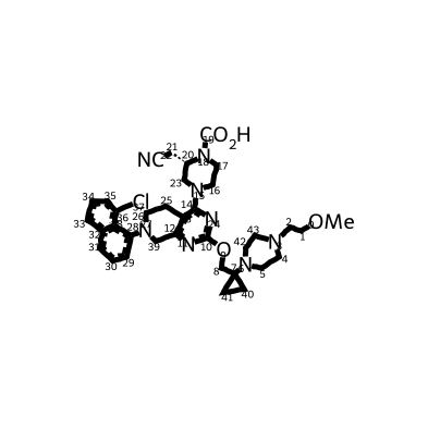 COCCN1CCN(C2(COc3nc4c(c(N5CCN(C(=O)O)[C@@H](CC#N)C5)n3)CCN(c3cccc5cccc(Cl)c35)C4)CC2)CC1